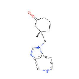 C[C@]1(Cn2cnc3cnccc32)CCCC(=O)C1